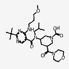 COCCCNc1nc(C(C)(C)C)ncc1C(=O)N(CC(C)C)C1CC(C(=O)N2CCOCC2)CN(C(=O)O)C1